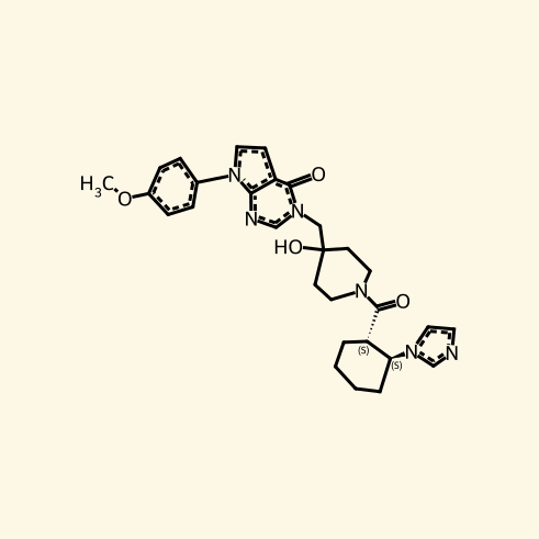 COc1ccc(-n2ccc3c(=O)n(CC4(O)CCN(C(=O)[C@H]5CCCC[C@@H]5n5ccnc5)CC4)cnc32)cc1